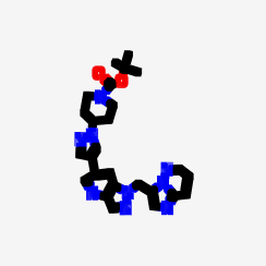 CC(C)(C)OC(=O)N1CCC(n2cc(-c3cnc4cnn(Cc5cnc6cccnn56)c4c3)cn2)CC1